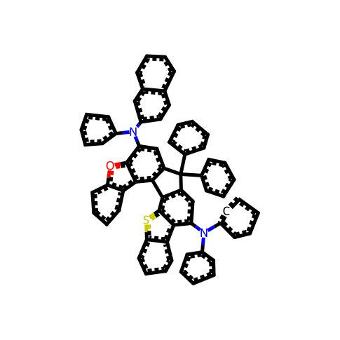 c1ccc(N(c2ccc3ccccc3c2)c2cc3c(c4c2oc2ccccc24)-c2c(cc(N(c4ccccc4)c4ccccc4)c4c2sc2ccccc24)C3(c2ccccc2)c2ccccc2)cc1